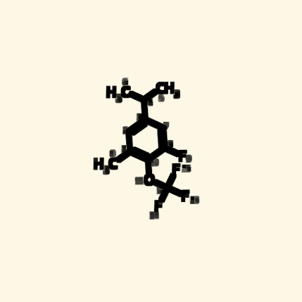 Cc1cc(C(C)C)cc(F)c1OC(F)(F)F